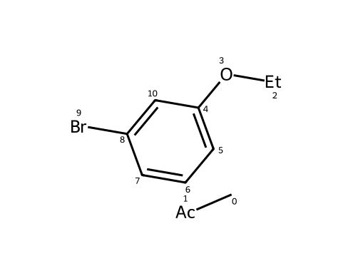 CC(C)=O.CCOc1cccc(Br)c1